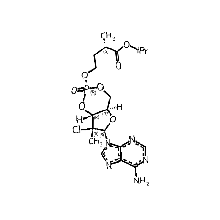 CC(C)OC(=O)[C@@H](C)CCO[P@]1(=O)OC[C@H]2O[C@@H](n3cnc4c(N)ncnc43)[C@](C)(Cl)[C@@H]2O1